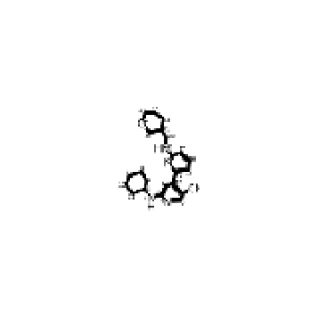 Clc1cnc(NC2CCCCC2)cc1-c1cccc(NCC2CCCOC2)n1